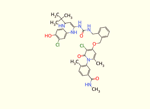 CNC(=O)c1ccc(C)c(-n2c(C)cc(OCc3ccccc3CNC(=O)N/C(=C/C(=N)C(C)(C)C)Nc3ccc(O)c(Cl)c3)c(Cl)c2=O)c1